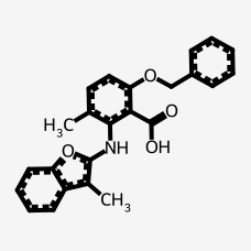 Cc1ccc(OCc2ccccc2)c(C(=O)O)c1Nc1oc2ccccc2c1C